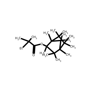 CCC(C)(C)C(=O)OC1(C)C(C)(C)C2(C)C(C)(C)C(C)(C)C1(C)C2(C)C